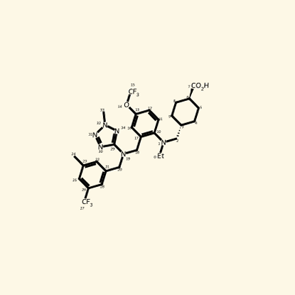 CCN(C[C@H]1CC[C@H](C(=O)O)CC1)c1ccc(OC(F)(F)F)cc1CN(Cc1cc(C)cc(C(F)(F)F)c1)c1nnn(C)n1